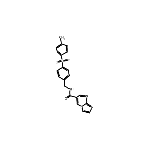 Cc1ccc(S(=O)(=O)c2ccc(CNC(=O)c3cnc4nccn4c3)cc2)cc1